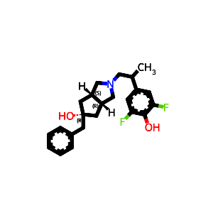 CC(CN1C[C@@H]2C[C@@](O)(Cc3ccccc3)C[C@@H]2C1)c1cc(F)c(O)c(F)c1